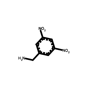 NCc1[c]c([N+](=O)[O-])cc([N+](=O)[O-])c1